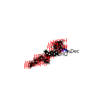 CCCCCCCCCCCCNC(=O)[C@H]1O[C@@H](O[C@H]2CC[C@@]3(C)C(CC[C@]4(C)C3CC=C3C5CC(C)(C)CC[C@]5(C(=O)O[C@@H]5O[C@H](C)[C@H](O)[C@H](O)[C@H]5O[C@@H]5O[C@@H](C)[C@H](O[C@@H]6OC[C@@H](O)[C@H](O[C@@H]7OC[C@](O)(CO)[C@H]7O)[C@H]6O)[C@@H](O)[C@H]5O)[C@H](O)C[C@]34C)[C@]2(C)C=O)[C@H](O[C@@H]2O[C@H](CO)[C@H](O)[C@H](O)[C@H]2O)[C@@H](O[C@@H]2OC[C@@H](O)[C@H](O)[C@H]2O)[C@@H]1O